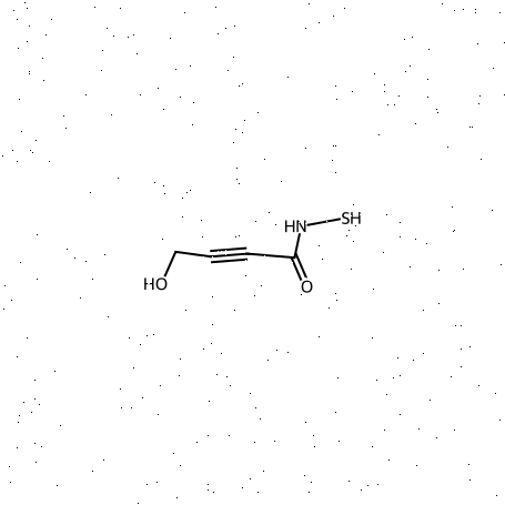 O=C(C#CCO)NS